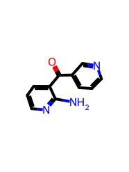 Nc1ncccc1C(=O)c1cccnc1